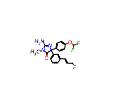 CN1C(=O)C(c2ccc(OC(F)F)cc2)(c2cccc(C=CCF)c2)N=C1N